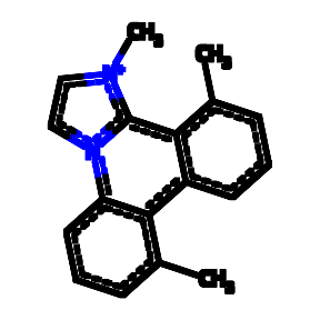 Cc1cccc2c1c1cccc(C)c1c1n2cc[n+]1C